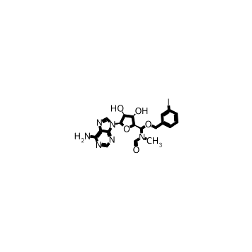 CN(C=O)C(OCc1cccc(I)c1)[C@H]1O[C@@H](n2cnc3c(N)ncnc32)[C@H](O)[C@@H]1O